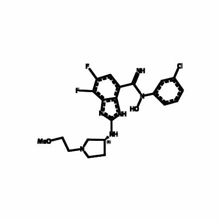 COCCN1CC[C@@H](Nc2nc3c(F)c(F)cc(C(=N)N(O)c4cccc(Cl)c4)c3[nH]2)C1